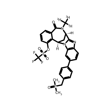 [2H]C([2H])([2H])N1C(=O)c2cccc(OS(=O)(=O)C(F)(F)F)c2[C@H]2C[C@@H]1c1nc3ccc(-c4ccc(CP(C)(C)=O)cc4)cc3n12